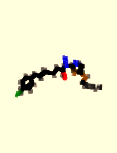 O=C(O)CSc1cnc(NC(=O)CCCCCc2ccc(F)cc2)s1